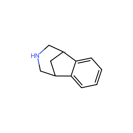 c1ccc2c(c1)[C]1CNCC2C1